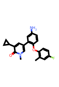 Cc1cc(F)ccc1Oc1ccc(N)cc1-c1cc(C2CC2)c(=O)n(C)c1